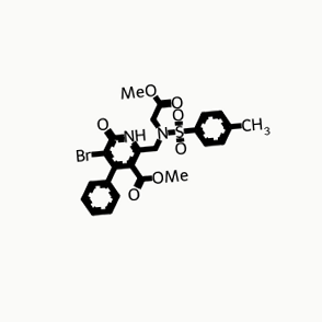 COC(=O)CN(Cc1[nH]c(=O)c(Br)c(-c2ccccc2)c1C(=O)OC)S(=O)(=O)c1ccc(C)cc1